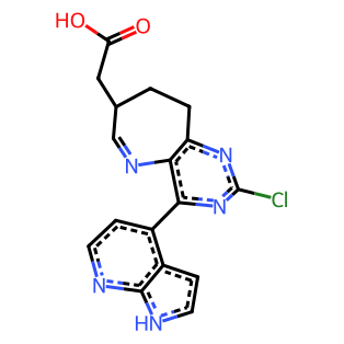 O=C(O)CC1C=Nc2c(nc(Cl)nc2-c2ccnc3[nH]ccc23)CC1